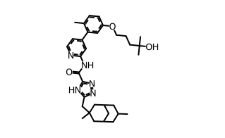 Cc1ccc(OCCCC(C)(C)O)cc1-c1ccnc(NC(=O)c2nnc(CC3(C)CC4CC(C)CC(C4)C3)[nH]2)c1